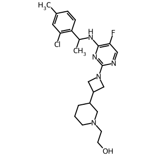 Cc1ccc(C(C)Nc2nc(N3CC(C4CCCN(CCO)C4)C3)ncc2F)c(Cl)c1